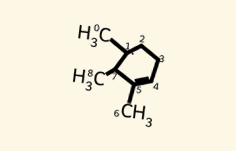 C[C]1CCC=C(C)C1C